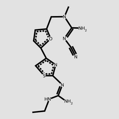 CCNC(N)=Nc1nc(-c2ccc(CN(C)C(N)=NC#N)o2)cs1